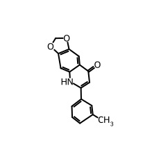 Cc1cccc(-c2cc(=O)c3cc4c(cc3[nH]2)OCO4)c1